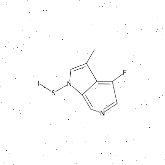 Cc1cn(SI)c2cncc(F)c12